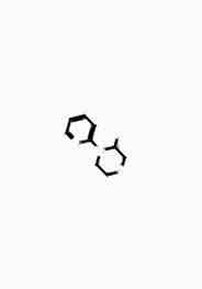 O=C(O)C1CNCCN1c1ccccn1